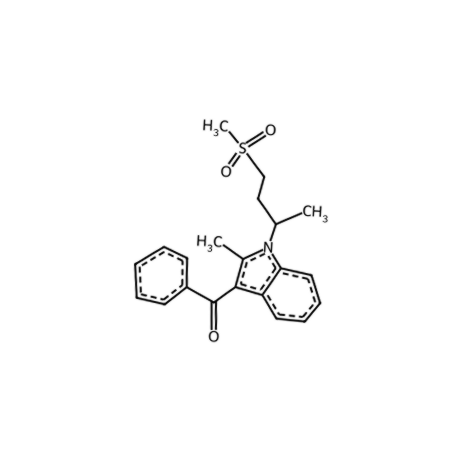 Cc1c(C(=O)c2ccccc2)c2ccccc2n1C(C)CCS(C)(=O)=O